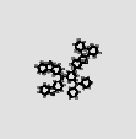 c1ccc(N(c2ccccc2)c2cc(-c3ccc4c(c3)oc3c5ccccc5c5ccccc5c43)cc(N(c3ccc4oc5ccccc5c4c3)c3ccc4sc5ccccc5c4c3)c2)cc1